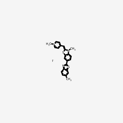 Cc1ccc2nc(-c3ccc4c(c3)S/C(=C\c3cc[n+](C)cc3)N4C)sc2c1.[I-]